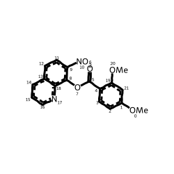 COc1ccc(C(=O)Oc2c([N+](=O)[O-])ccc3cccnc23)c(OC)c1